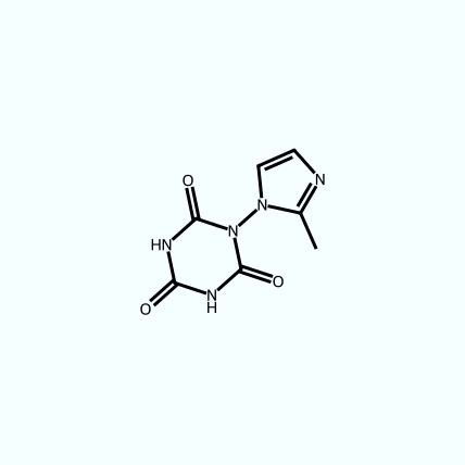 Cc1nccn1-n1c(=O)[nH]c(=O)[nH]c1=O